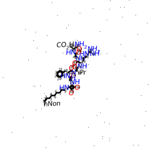 CCCCCCCCC/C=C\CCCCCCCNc1c(NCC(=O)N[C@H](Cc2ccccc2)C(=O)N[C@H](C(=O)N[C@@H](CCCNC(=N)N)C(=O)NCC(=O)N[C@@H](CC(=O)O)C(N)=O)C(C)C)c(=O)c1=O